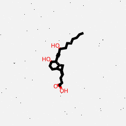 CCCCCCCC(O)C#CC1C(O)CCC2C(=CCCC(=O)O)CC21